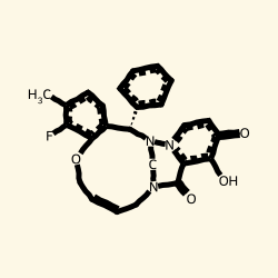 Cc1ccc2c(c1F)OC/C=C\CN1CN([C@H]2c2ccccc2)n2ccc(=O)c(O)c2C1=O